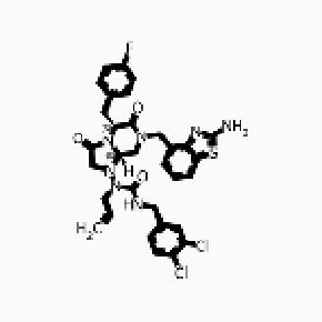 C=CCN(C(=O)NCc1ccc(Cl)c(Cl)c1)N1CC(=O)N2[C@@H](Cc3ccc(F)cc3)C(=O)N(Cc3cccc4sc(N)nc34)C[C@@H]21